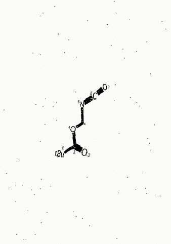 CC(C)(C)C(=O)OCN=C=O